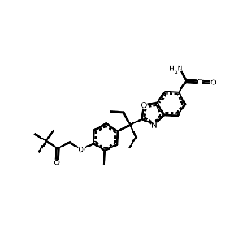 CCC(CC)(c1ccc(OCC(=O)C(C)(C)C)c(C)c1)c1nc2ccc(C(N)=C=O)cc2o1